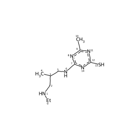 CCNCC(C)CNc1nc(C)nc(S)n1